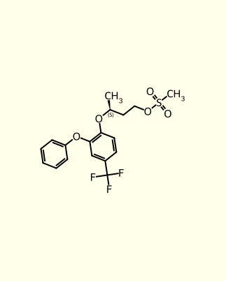 C[C@@H](CCOS(C)(=O)=O)Oc1ccc(C(F)(F)F)cc1Oc1ccccc1